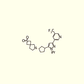 CC(C)n1nc(-c2cncc(C(F)(F)F)c2)cc1C1CC[C@H](N2CCC3(C2)CS(=O)(=O)C3)C1